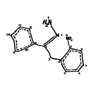 NN=C(Cc1ccccc1[N+](=O)[O-])c1ccccc1